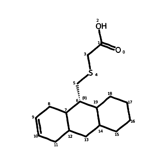 O=C(O)CSC[C@H]1C2CC=CCC2CC2CCCCC21